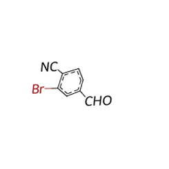 N#Cc1ccc(C=O)cc1Br